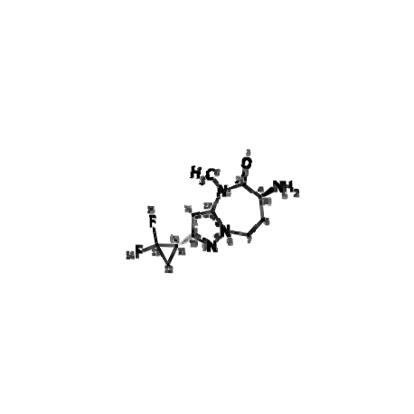 CN1C(=O)[C@@H](N)CCn2nc([C@@H]3CC3(F)F)cc21